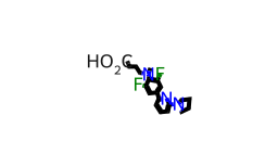 CN(CCCC(=O)O)c1c(F)cc(-c2cccc(N3CCCC3)n2)cc1F